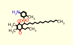 CCCCCCCCCCCCCC(C1=C(CCC)C(=O)C(C)=C(C)C1=O)S(=O)(=O)c1cc(N)ccc1C